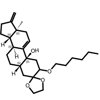 C=C1CC[C@H]2[C@@H]3CC[C@H]4CC5(OCCO5)C(OCCCCCC)C[C@@]4(O)C3=CC[C@]12C